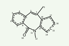 C/C1=C/c2ccccc2C(=O)N(C)c2ccccc21